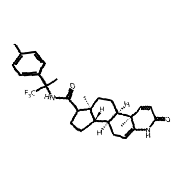 Cc1ccc(C(C)(NC(=O)C2CC[C@H]3[C@@H]4CC=C5NC(=O)C=C[C@]5(C)[C@@H]4CC[C@]23C)C(F)(F)F)cc1